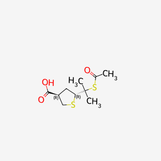 CC(=O)SC(C)(C)[C@H]1C[C@H](C(=O)O)CS1